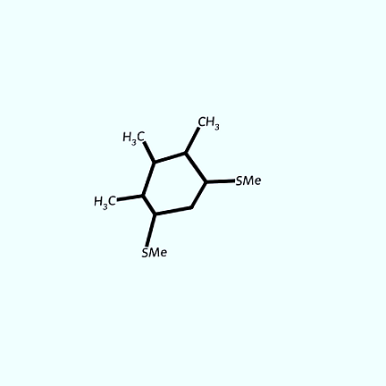 CSC1CC(SC)C(C)C(C)C1C